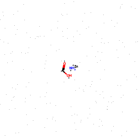 N.O=CO.[Zn]